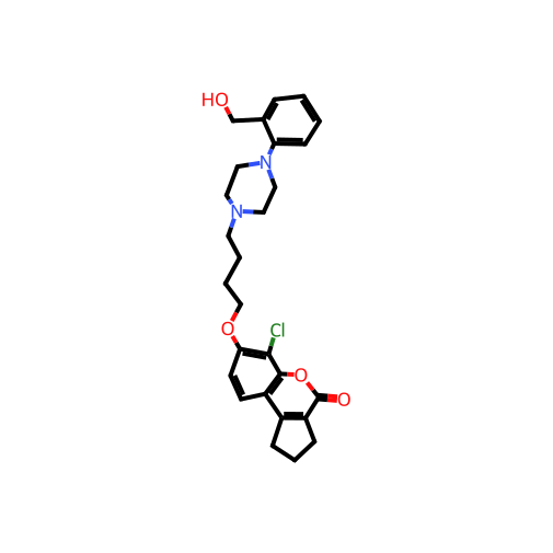 O=c1oc2c(Cl)c(OCCCCN3CCN(c4ccccc4CO)CC3)ccc2c2c1CCC2